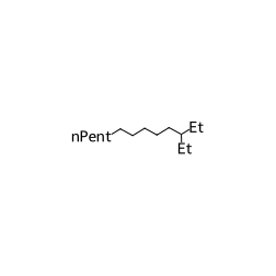 [CH2]CCCCCCCCCC(C[CH2])CC